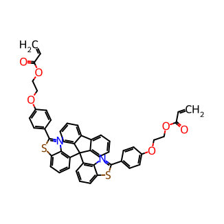 C=CC(=O)OCCOc1ccc(-c2nc3c(C4(c5cccc6sc(-c7ccc(OCCOC(=O)C=C)cc7)nc56)c5ccccc5-c5ccccc54)cccc3s2)cc1